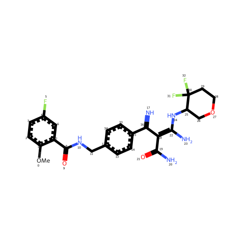 COc1ccc(F)cc1C(=O)NCc1ccc(C(=N)/C(C(N)=O)=C(/N)NC2COCCC2(F)F)cc1